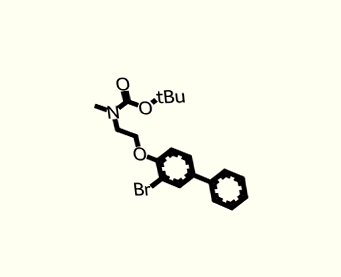 CN(CCOc1ccc(-c2ccccc2)cc1Br)C(=O)OC(C)(C)C